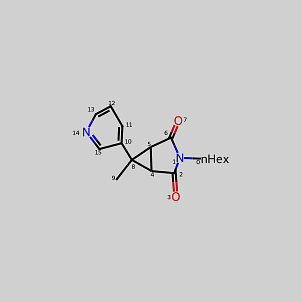 CCCCCCN1C(=O)C2C(C1=O)C2(C)c1cccnc1